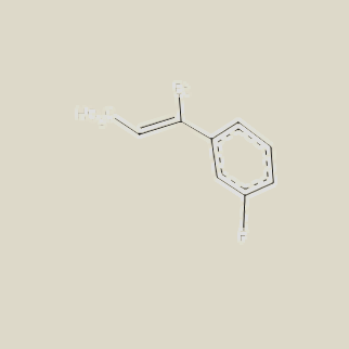 CCC(=CC(=O)O)c1cccc(F)c1